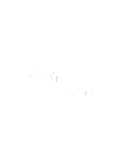 CCCC/C=C/[P]CCCCCCCC